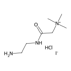 C[N+](C)(C)CC(=O)NCCN.Cl.[I-]